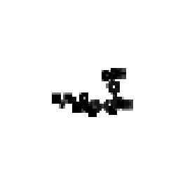 NCCC(=O)Nc1ccc(-c2cnc3[nH]cc(-c4ccc(C(=O)O)cc4)c3c2)cn1